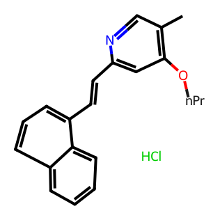 CCCOc1cc(C=Cc2cccc3ccccc23)ncc1C.Cl